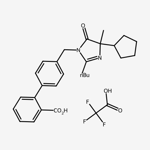 CCCCC1=NC(C)(C2CCCC2)C(=O)N1Cc1ccc(-c2ccccc2C(=O)O)cc1.O=C(O)C(F)(F)F